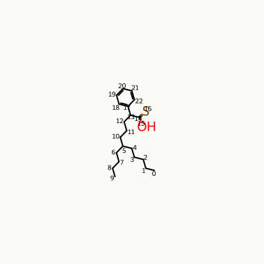 CCCCCC(CCCC)CCCC(C(O)=S)c1ccccc1